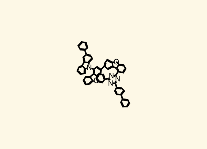 c1ccc(-c2ccc(-c3nc(-c4ccccc4)nc(-c4cccc5oc6ccc(-c7cc(-n8c9ccccc9c9cc(-c%10ccccc%10)ccc98)c8c(c7)oc7ccccc78)cc6c45)n3)cc2)cc1